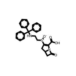 O=C(O)C1=C([S+]([O-])CCNC(c2ccccc2)(c2ccccc2)c2ccccc2)CC2CC(=O)N12